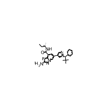 CC[C@H](C)NC(=O)c1cc(-c2cnn(C(c3ccccc3)C(C)(C)C)c2)cn2nc(N)nc12